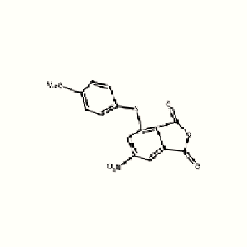 COc1ccc(Sc2cc([N+](=O)[O-])cc3c2C(=O)OC3=O)cc1